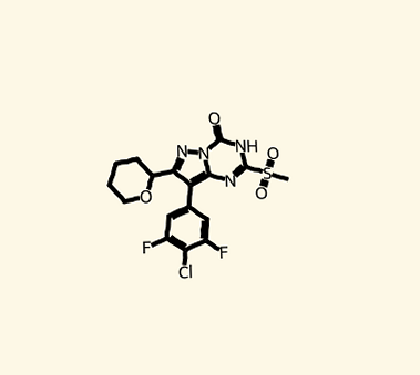 CS(=O)(=O)c1nc2c(-c3cc(F)c(Cl)c(F)c3)c(C3CCCCO3)nn2c(=O)[nH]1